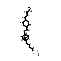 CCCCCC12CCC(CCC3CCC(CCCCF)CC3)(CC1)CC2